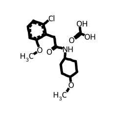 COc1cccc(Cl)c1CC(=O)NC1CCC(OC)CC1.O=C(O)O